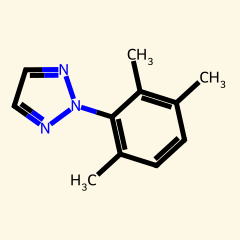 Cc1ccc(C)c(-n2nccn2)c1C